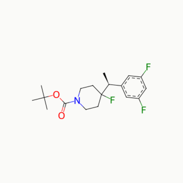 C[C@@H](c1cc(F)cc(F)c1)C1(F)CCN(C(=O)OC(C)(C)C)CC1